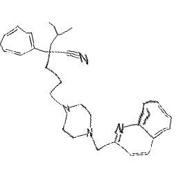 CC(C)C(C#N)(CCCN1CCN(Cc2ccc3ccccc3n2)CC1)c1ccccc1